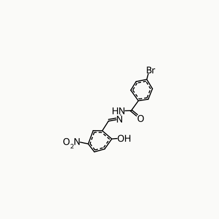 O=C(N/N=C/c1cc([N+](=O)[O-])ccc1O)c1ccc(Br)cc1